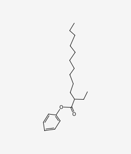 CCCCCCCCCCC(CC)C(=O)Oc1ccccc1